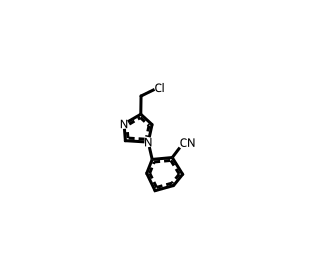 N#Cc1ccccc1-n1cnc(CCl)c1